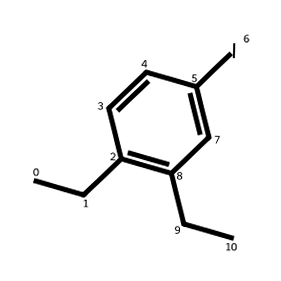 CCc1ccc(I)cc1CC